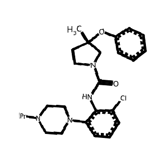 CC(C)N1CCN(c2cccc(Cl)c2NC(=O)N2CCC(C)(Oc3ccccc3)C2)CC1